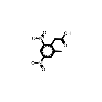 Cc1cc([N+](=O)[O-])cc([N+](=O)[O-])c1CC(=O)O